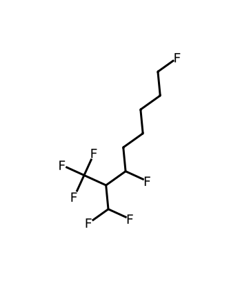 FCCCCCC(F)C(C(F)F)C(F)(F)F